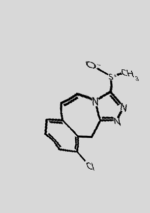 C[S+]([O-])c1nnc2n1C=Cc1cccc(Cl)c1C2